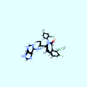 CCC(Nc1ncnc2[nH]cnc12)c1cc2ccc(F)c(Cl)c2c(=O)n1-c1ccc(Cl)cc1Cl